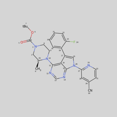 C[C@H]1CN(C(=O)OC(C)(C)C)CCN1c1ncnc2c1c(-c1ccccc1F)cn2-c1cc(C#N)ccn1